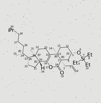 C=CC[C@@]12C[C@@H](O[Si](CC)(CC)CC)CC[C@]1(C)C1=C(OC2=O)[C@@H]2CC[C@H]([C@H](C)CCCC(C)C)[C@@]2(C)CC1